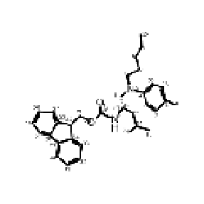 [CH2]c1ccc(N(CCCCC)C[C@H](CC(C)C)NC(=O)OCC2c3ccccc3-c3ccccc32)cc1